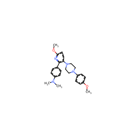 COc1ccc(N2CCN(c3ccc(OC)nc3-c3ccc(N(C)C)cc3)CC2)cc1